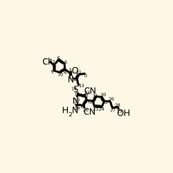 Cc1oc(-c2ccc(Cl)cc2)nc1CSc1nc(N)c(C#N)c(-c2ccc(CCCO)cc2)c1C#N